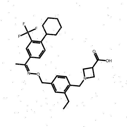 CCc1cc(CON=C(C)c2ccc(C3CCCCC3)c(C(F)(F)F)c2)ccc1CN1CC(C(=O)O)C1